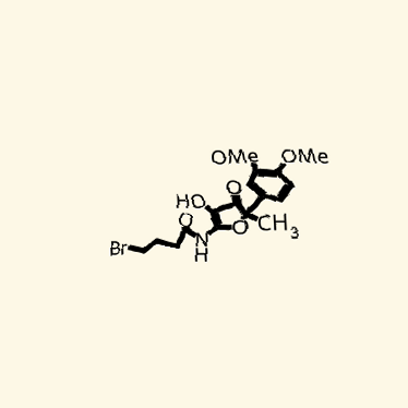 COc1ccc(C2(C)OC(NC(=O)CCCBr)=C(O)C2=O)cc1OC